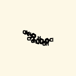 O=C(c1cccc(N2CC3(COC3)C2)c1Cl)N1CCN2C[C@](O)(c3ccc(Cl)cc3)CC[C@@H]2C1